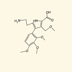 COCc1c(C(=O)O)[nH]c(CCN)c1-c1ccc(OC)c(OC)c1OC